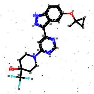 CC1(Oc2ccc3[nH]nc(-c4cc(N5CCC(O)(C(F)(F)F)CC5)ncn4)c3c2)CC1